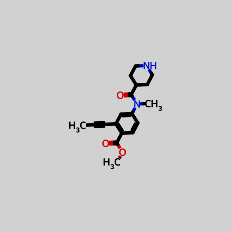 CC#Cc1cc(N(C)C(=O)C2CCNCC2)ccc1C(=O)OC